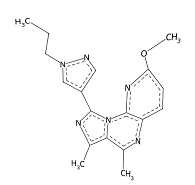 CCCn1cc(-c2nc(C)c3c(C)nc4ccc(OC)nc4n23)cn1